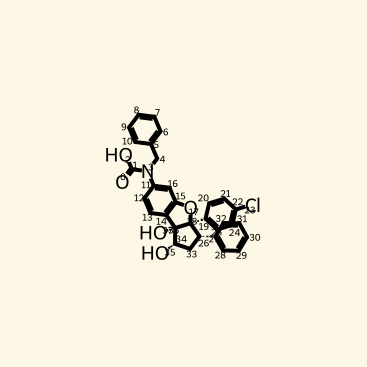 O=C(O)N(Cc1ccccc1)c1ccc2c(c1)O[C@@]1(c3ccc(Cl)cc3)[C@H](c3ccccc3)C[C@H](O)[C@@]21O